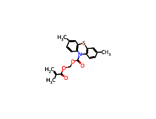 C=C(C)C(=O)OCOC(=O)N1c2ccc(C)cc2Sc2cc(C)ccc21